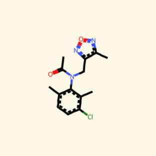 CC(=O)N(Cc1nonc1C)c1c(C)ccc(Cl)c1C